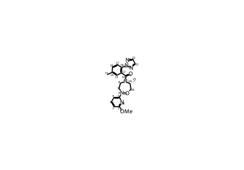 COc1cccc(N2CCN(C(=O)c3cc(C)ccc3-n3nccn3)[C@H](C)CO2)n1